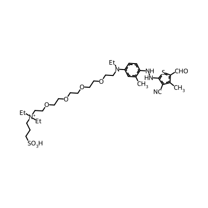 CCN(CCOCCOCCOCCOCC[N+](CC)(CC)CCCS(=O)(=O)O)c1ccc(NNc2sc(C=O)c(C)c2C#N)c(C)c1